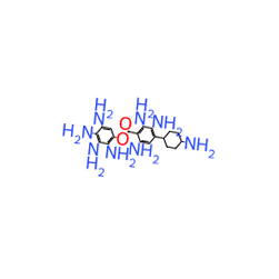 Nc1cc(OC(=O)c2c(N)cc(C3CCC(N)CC3)c(N)c2N)c(N)c(N)c1N